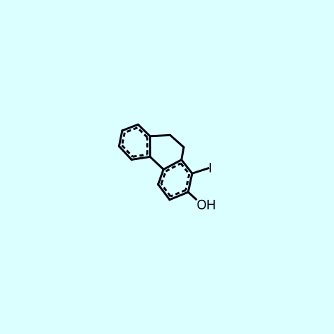 Oc1ccc2c(c1I)CCc1ccccc1-2